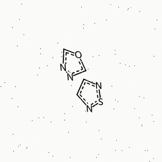 c1cnsn1.c1nnco1